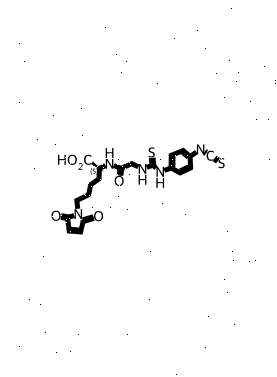 O=C(CNC(=S)Nc1ccc(N=C=S)cc1)N[C@@H](CCCCN1C(=O)C=CC1=O)C(=O)O